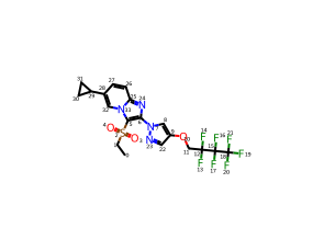 CCS(=O)(=O)c1c(-n2cc(OCC(F)(F)C(F)(F)C(F)(F)F)cn2)nc2ccc(C3CC3)cn12